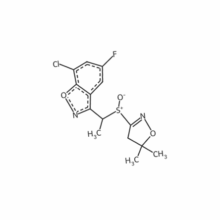 CC(c1noc2c(Cl)cc(F)cc12)[S+]([O-])C1=NOC(C)(C)C1